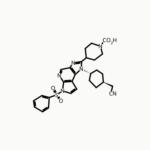 N#CC[C@H]1CC[C@H](n2c(C3CCN(C(=O)O)CC3)nc3cnc4c(ccn4S(=O)(=O)c4ccccc4)c32)CC1